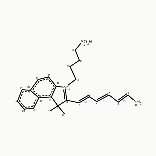 CC1(C)C(/C=C/C=C/C=C/N)=[N+](CCCCS(=O)(=O)O)c2ccc3ccccc3c21